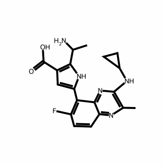 Cc1nc2ccc(F)c(-c3cc(C(=O)O)c(C(C)N)[nH]3)c2nc1NC1CC1